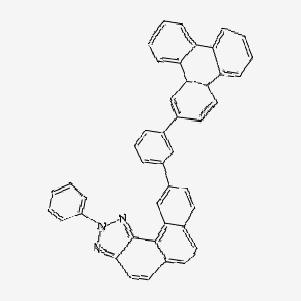 C1=CC2c3ccccc3-c3ccccc3C2C=C1c1cccc(-c2ccc3ccc4ccc5nn(-c6ccccc6)nc5c4c3c2)c1